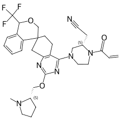 C=CC(=O)N1CCN(c2nc(OC[C@@H]3CCCN3C)nc3c2CCC2(COC(C(F)(F)F)c4ccccc42)C3)C[C@@H]1CC#N